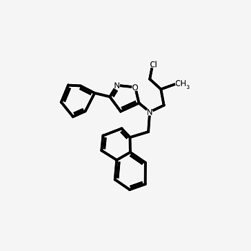 CC(CCl)CN(Cc1cccc2ccccc12)c1cc(-c2ccccc2)no1